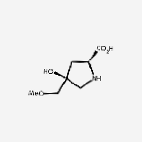 COC[C@@]1(O)CN[C@H](C(=O)O)C1